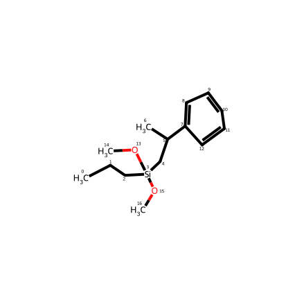 CCC[Si](CC(C)c1ccccc1)(OC)OC